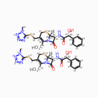 Cn1nnnc1SCC1=C(C(=O)O)N2C(=O)[C@@H](NC(=O)[C@H](O)c3ccccc3)[C@H]2SC1.Cn1nnnc1SCC1=C(C(=O)O)N2C(=O)[C@@H](NC(=O)[C@H](O)c3ccccc3)[C@H]2SC1